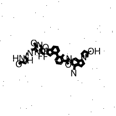 COc1nc(O[C@H]2CCc3c(-c4cccc(-c5nc6cc7c(c(C#N)c6o5)CC[C@H]7N5CC[C@@H](O)C5)c4C)cccc32)c(C(F)(F)F)nc1CNC[C@H]1CCC(=O)N1